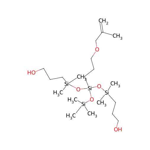 C=C(C)COCCC[Si](O[Si](C)(C)C)(O[Si](C)(C)CCCO)O[Si](C)(C)CCCO